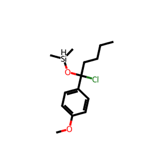 CCCCC(Cl)(O[SiH](C)C)c1ccc(OC)cc1